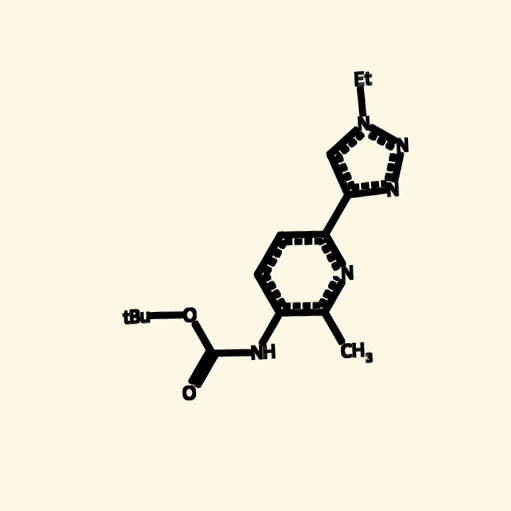 CCn1cc(-c2ccc(NC(=O)OC(C)(C)C)c(C)n2)nn1